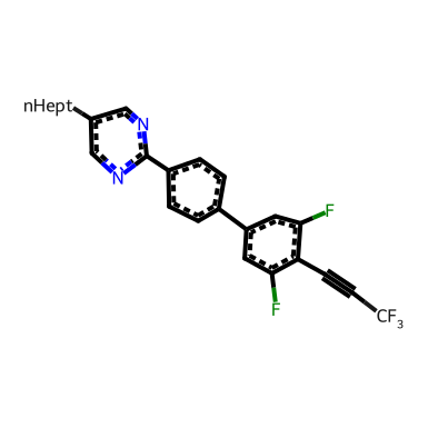 CCCCCCCc1cnc(-c2ccc(-c3cc(F)c(C#CC(F)(F)F)c(F)c3)cc2)nc1